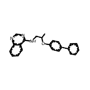 CC(CNc1ncnc2ccccc12)Oc1ccc(-c2ccccc2)cc1